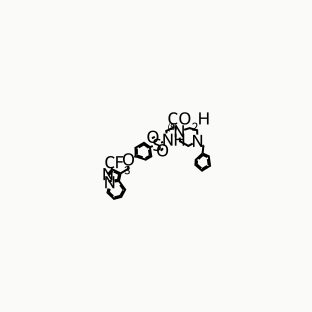 O=C(O)[C@H](CNS(=O)(=O)c1ccc(OCc2c(C(F)(F)F)nn3ccccc23)cc1)N1CCN(Cc2ccccc2)CC1